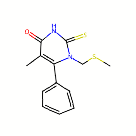 CSCn1c(-c2ccccc2)c(C)c(=O)[nH]c1=S